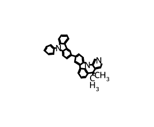 CC1(C)c2ccncc2-n2c3ccc(-c4ccc5c(c4)c4ccccc4n5-c4ccccc4)cc3c3cccc1c32